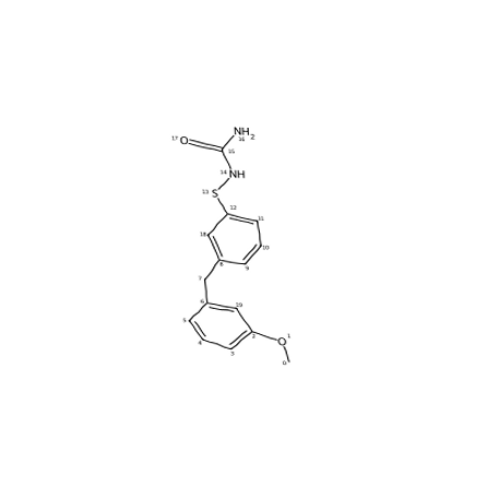 COc1cccc(Cc2cccc(SNC(N)=O)c2)c1